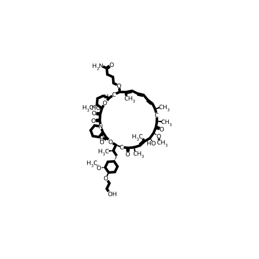 CO[C@@H]1C[C@H](C[C@@H](C)[C@@H]2CC(=O)[C@H](C)/C=C(\C)[C@@H](O)[C@@H](OC)C(=O)[C@H](C)C[C@H](C)/C=C/C=C/C=C(\C)C(OCCCC(N)=O)C[C@@H]3CC[C@@H](C)[C@@](O)(O3)C(=O)C(=O)N3CCCC[C@H]3C(=O)O2)CC[C@H]1OCCO